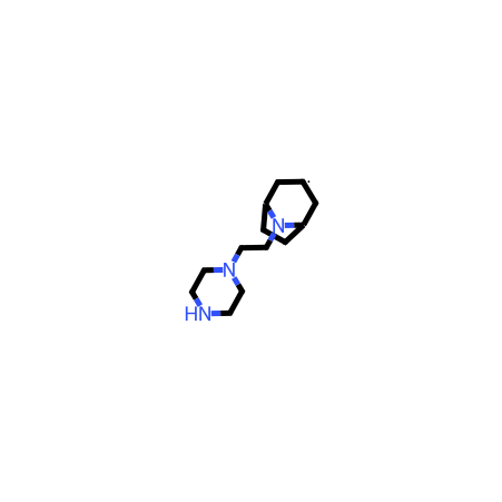 [CH]1CC2CCC(C1)N2CCN1CCNCC1